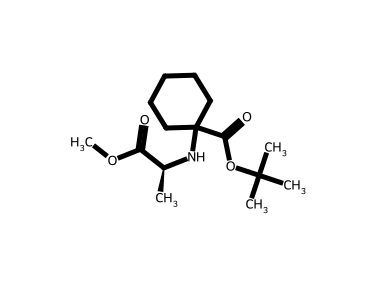 COC(=O)[C@H](C)NC1(C(=O)OC(C)(C)C)CCCCC1